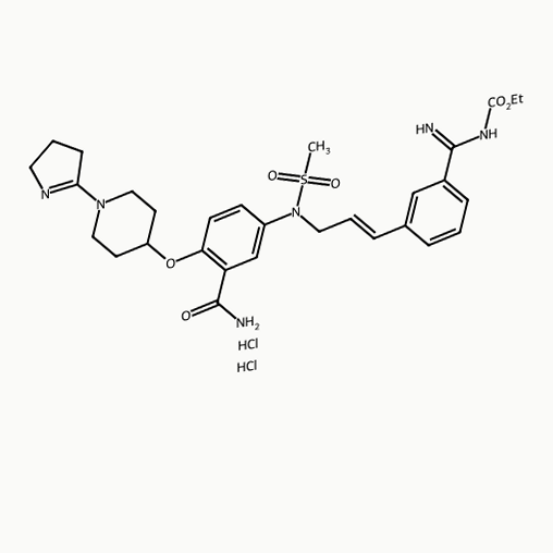 CCOC(=O)NC(=N)c1cccc(/C=C/CN(c2ccc(OC3CCN(C4=NCCC4)CC3)c(C(N)=O)c2)S(C)(=O)=O)c1.Cl.Cl